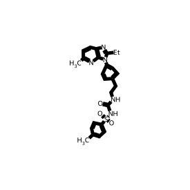 CCc1nc2ccc(C)nc2n1-c1ccc(CCNC(=O)NS(=O)(=O)c2ccc(C)cc2)cc1